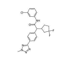 Cn1nnc(-c2ccc(C(C(=O)Nc3cccc(Cl)c3)C3CCC(F)(F)C3)cc2)n1